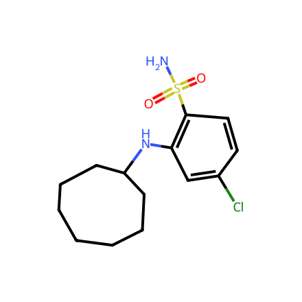 NS(=O)(=O)c1ccc(Cl)cc1NC1CCCCCCC1